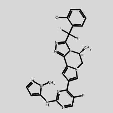 C[C@H]1Cn2cc(-c3nc(Nc4ccnn4C)ncc3F)cc2-c2nnc(C(F)(F)c3ccccc3Cl)n21